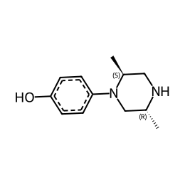 C[C@@H]1CN(c2ccc(O)cc2)[C@@H](C)CN1